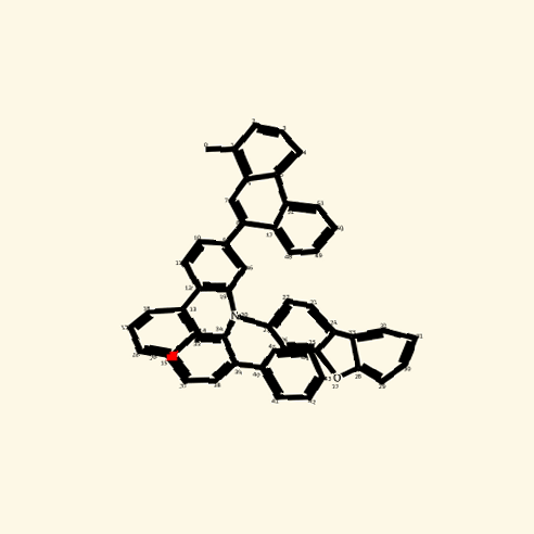 Cc1cccc2c1cc(-c1ccc(-c3ccccc3)c(N(c3ccc4c(c3)oc3ccccc34)c3ccccc3-c3ccccc3)c1)c1ccccc12